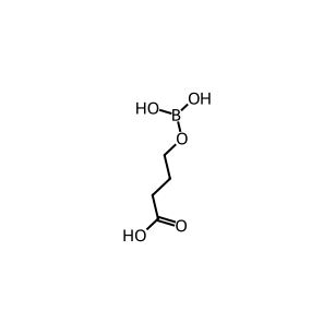 O=C(O)CCCOB(O)O